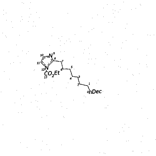 CCCCCCCCCCCCCCCCCc1nccn1C(=O)OCC